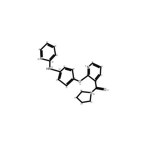 O=C(c1cccnc1Oc1ccc(Nc2ccccn2)cc1)N1CCCC1